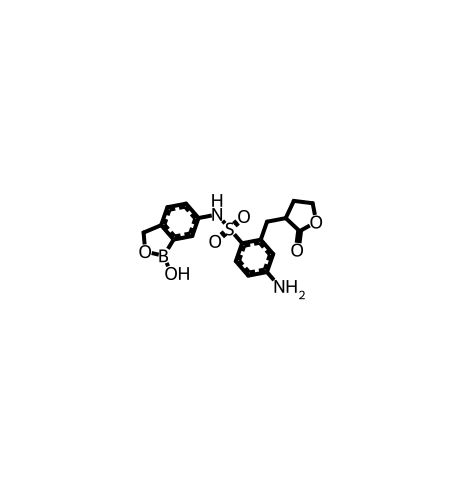 Nc1ccc(S(=O)(=O)Nc2ccc3c(c2)B(O)OC3)c(CC2CCOC2=O)c1